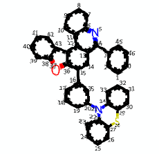 c1ccc(-c2nc3ccccc3c3c2cc(-c2cccc(N4c5ccccc5Sc5ccccc54)c2)c2oc4ccccc4c23)cc1